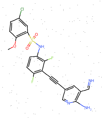 COc1ccc(Cl)cc1S(=O)(=O)Nc1ccc(F)c(C#Cc2cnc(N)c(C=N)c2)c1F